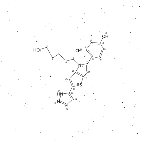 OCCCCCn1c(-c2ccc(O)cc2Cl)cc2sc(-c3nnn[nH]3)cc21